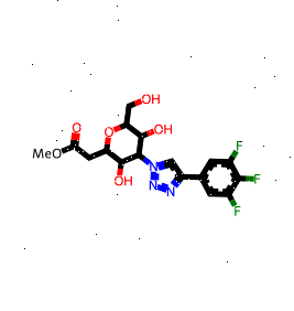 COC(=O)CC1OC(CO)C(O)C(n2cc(-c3cc(F)c(F)c(F)c3)nn2)C1O